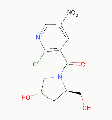 O=C(c1cc([N+](=O)[O-])cnc1Cl)N1C[C@@H](O)C[C@@H]1CO